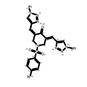 CC(C)n1cc(C=C2CN(S(=O)(=O)c3ccc(Br)cc3)CC(=Cc3cn(C(C)C)nn3)C2=O)nn1